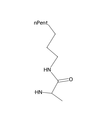 CCCCCCCCNC(=O)C(C)[NH]